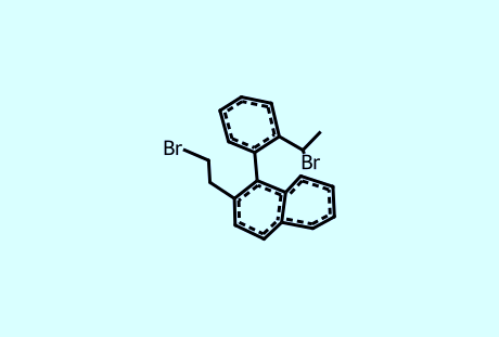 CC(Br)c1ccccc1-c1c(CCBr)ccc2ccccc12